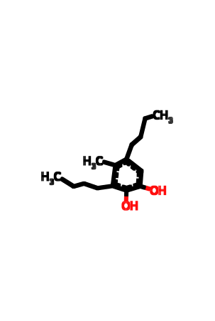 CCCCc1cc(O)c(O)c(CCCC)c1C